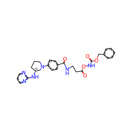 O=C(CCNC(=O)c1ccc(N2CCC[C@H](Nc3ncccn3)C2)cc1)ONC(=O)OCc1ccccc1